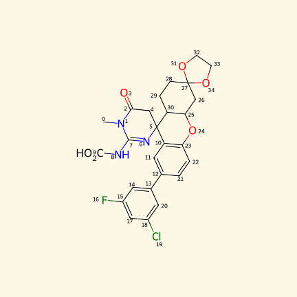 CN1C(=O)CC2(N=C1NC(=O)O)c1cc(-c3cc(F)cc(Cl)c3)ccc1OC1CC3(CCC12)OCCO3